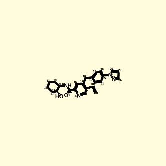 C=Cc1cnc(C(=O)NC2CCCC[C@@H]2O)cc1Cc1ccc(-n2cccn2)cc1